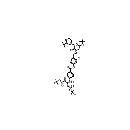 CC(C)(C)OC(=O)CN(CCc1ccc(OC(=O)c2ccc(N/C(=N\C(=O)OC(C)(C)C)NC(=O)OC(C)(C)C)cc2)cc1Cl)C(=O)Cc1cccc(C(C)(C)C)c1